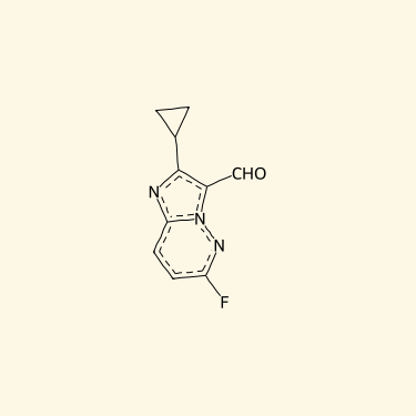 O=Cc1c(C2CC2)nc2ccc(F)nn12